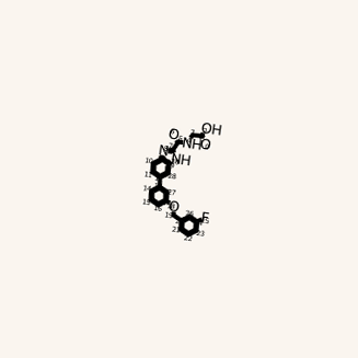 O=C(O)CNC(=O)c1nc2ccc(-c3cccc(OCc4cccc(F)c4)c3)cc2[nH]1